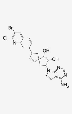 Nc1ncnc2c1ccn2C1CC2(C=CC(c3ccc4cc(Br)c(Cl)nc4c3)C2)C(O)C1O